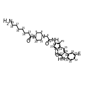 Cc1c(NC(=O)CN2CCN(C(=O)CCCCCCN)CC2)c[nH]c1C=C1C(=O)Nc2ccc(F)cc21